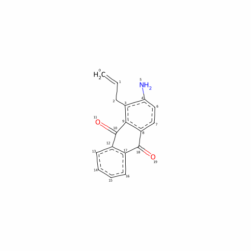 C=CCc1c(N)ccc2c1C(=O)c1ccccc1C2=O